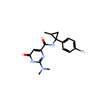 CC1CC1(NC(=O)c1cc(=O)[nH]c(N(C)C)n1)c1ccc(C(F)(F)F)cc1